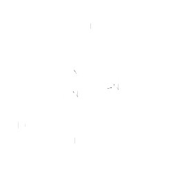 Cc1cc(C)cc(C(=O)N2CC[C@H](NCCc3ccccc3)C[C@@H]2Cc2ccccc2)c1.Cl